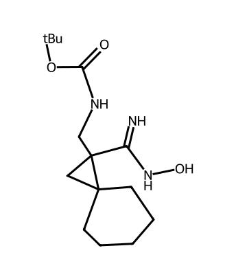 CC(C)(C)OC(=O)NCC1(C(=N)NO)CC12CCCCC2